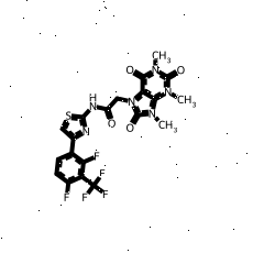 Cn1c(=O)c2c(n(C)c1=O)n(C)c(=O)n2CC(=O)Nc1nc(-c2ccc(F)c(C(F)(F)F)c2F)cs1